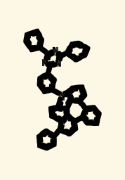 c1ccc(-c2nc(-c3ccccc3)nc(-c3cccc(-n4c5cccc6c5c5c7c(ccc(-c8ccccc8)c7ccc54)-c4ccccc4-6)c3)n2)cc1